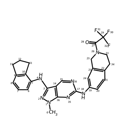 Cn1nc(Nc2cccc3c2CCC3)c2cnc(Nc3ccc4c(c3)CN(C(=O)C(F)(F)F)CC4)nc21